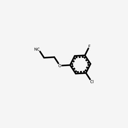 N#CCCOc1cc(F)cc(Cl)c1